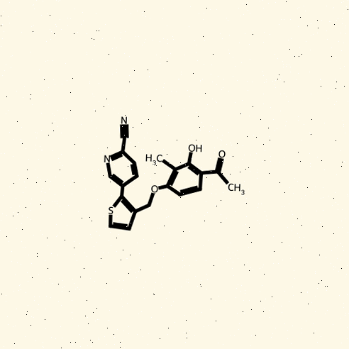 CC(=O)c1ccc(OCc2ccsc2-c2ccc(C#N)nc2)c(C)c1O